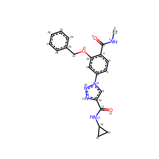 CCNC(=O)c1ccc(-n2cc(C(=O)NC3CC3)nn2)cc1OCc1ccccc1